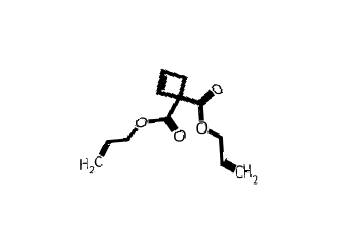 C=CCOC(=O)C1(C(=O)OCC=C)C=CC1